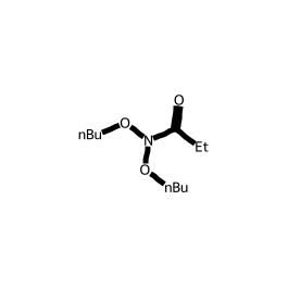 CCCCON(OCCCC)C(=O)CC